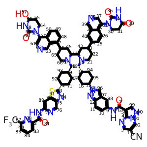 N#Cc1cnc2c(C(=O)Nc3ccc4nn([C@H]5CC[C@H](CN6CCC(c7ccc8c(N9CCC(=O)NC9=O)cncc8c7)CC6C6CC(c7cccc8c(N9CCC(O)NC9=O)cncc78)CCN6C[C@H]6CC[C@H](c7nc8cnc(NC(=O)c9cccc(C(F)(F)F)n9)cc8s7)CC6)CC5)cc4c3)cnn2c1